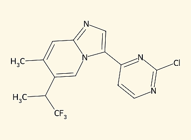 Cc1cc2ncc(-c3ccnc(Cl)n3)n2cc1C(C)C(F)(F)F